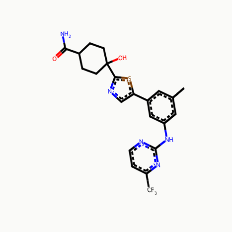 Cc1cc(Nc2nccc(C(F)(F)F)n2)cc(-c2cnc(C3(O)CCC(C(N)=O)CC3)s2)c1